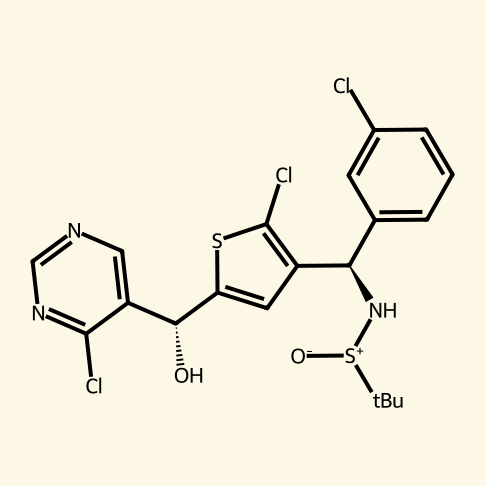 CC(C)(C)[S+]([O-])N[C@H](c1cccc(Cl)c1)c1cc([C@H](O)c2cncnc2Cl)sc1Cl